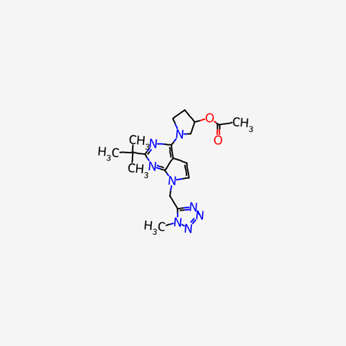 CC(=O)OC1CCN(c2nc(C(C)(C)C)nc3c2ccn3Cc2nnnn2C)C1